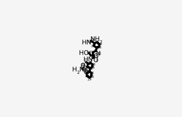 Cc1c(NC(=O)C2(CCO)CC(c3cccc(C(=N)N)c3)=NO2)ccc(-c2ccccc2)c1S(N)(=O)=O